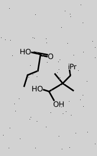 CC(C)CC(C)(C)C(O)O.CCCC(=O)O